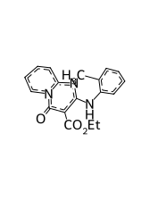 CCOC(=O)c1c(Nc2ccccc2C)nc2ccccn2c1=O